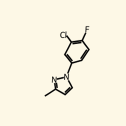 Cc1ccn(-c2ccc(F)c(Cl)c2)n1